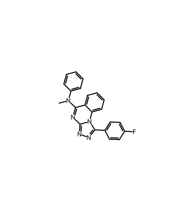 CN(c1ccccc1)c1nc2nnc(-c3ccc(F)cc3)n2c2ccccc12